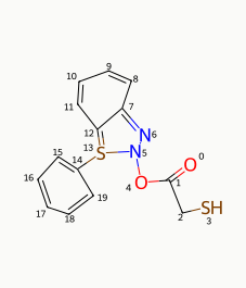 O=C(CS)ON1N=c2ccccc2=S1c1ccccc1